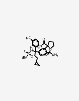 CC(C)(C)S(=O)(=O)NC(CCC1CC1)(c1cccc(C#N)c1)c1ccc(F)c(C2(C(N)=O)CCCN2C(N)=O)c1